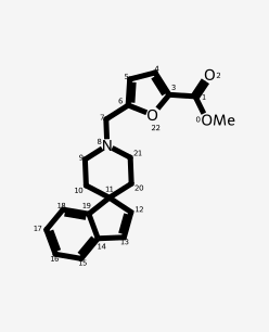 COC(=O)c1ccc(CN2CCC3(C=Cc4ccccc43)CC2)o1